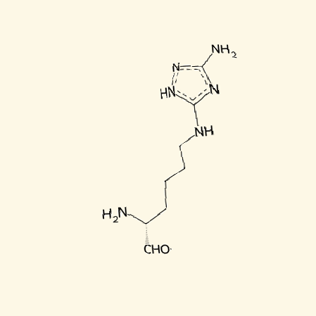 Nc1n[nH]c(NCCCC[C@@H](N)[C]=O)n1